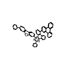 c1ccc(-c2ccc3c(c2)oc2cc(-c4nc(-c5ccccc5)nc(-c5ccccc5-c5ccccc5-c5ccc6c7ccccc7c7ccccc7c6c5)n4)ccc23)cc1